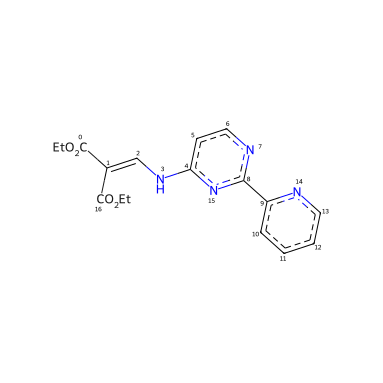 CCOC(=O)C(=CNc1ccnc(-c2ccccn2)n1)C(=O)OCC